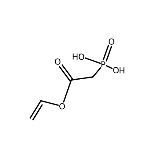 C=COC(=O)CP(=O)(O)O